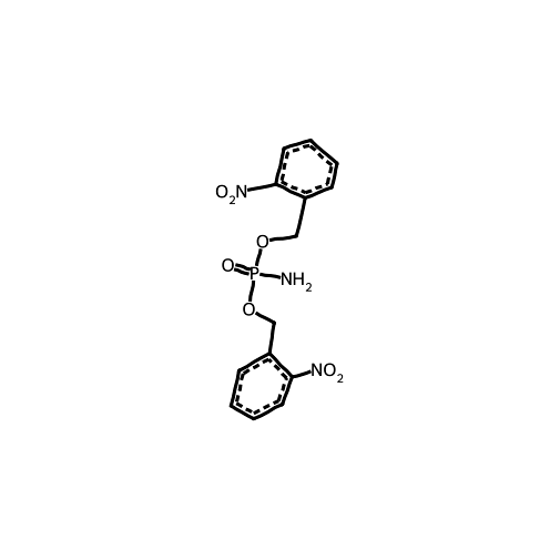 NP(=O)(OCc1ccccc1[N+](=O)[O-])OCc1ccccc1[N+](=O)[O-]